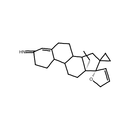 CC[C@]12CCC3C4CCC(=N)C=C4CCC3C1CC1(CC1)[C@@]21C=CCO1